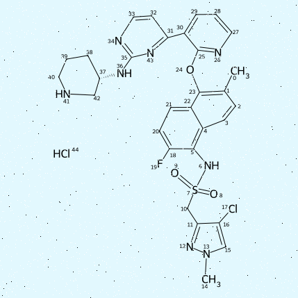 Cc1ccc2c(NS(=O)(=O)Cc3nn(C)cc3Cl)c(F)ccc2c1Oc1ncccc1-c1ccnc(N[C@H]2CCCNC2)n1.Cl